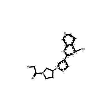 O=C(CCl)N1CC[C@H](n2cc(-c3nc(O)c4ccncc4n3)cn2)C1